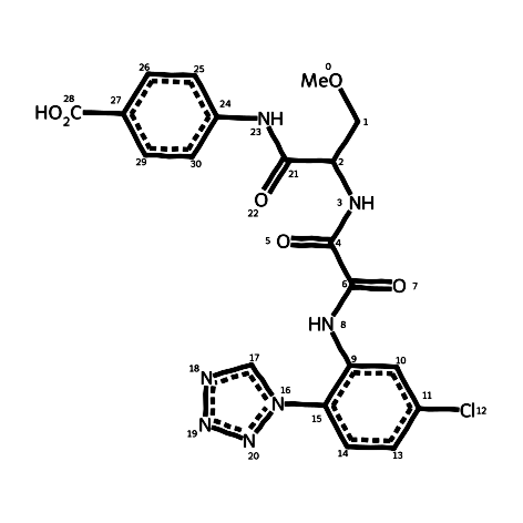 COCC(NC(=O)C(=O)Nc1cc(Cl)ccc1-n1cnnn1)C(=O)Nc1ccc(C(=O)O)cc1